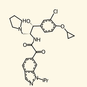 CC(C)n1ncc2ccc(C(=O)C(=O)N[C@H](CN3CCCC3)[C@H](O)c3ccc(OC4CC4)c(Cl)c3)cc21